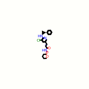 O=C(/C=C/c1cnc(N[C@H]2C[C@@H]2c2ccccc2)c(Cl)c1)NOC1CCCCO1